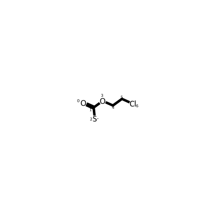 O=C([S])OCCCl